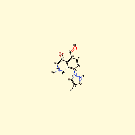 Cc1cnn(-c2ccc(C=O)c(/C(Br)=C\N(C)C)c2)c1